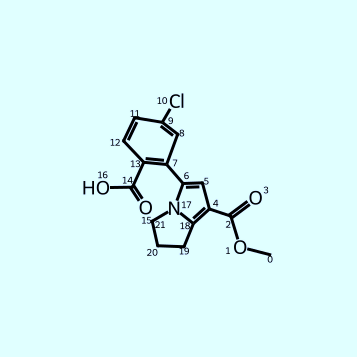 COC(=O)c1cc(-c2cc(Cl)ccc2C(=O)O)n2c1CCC2